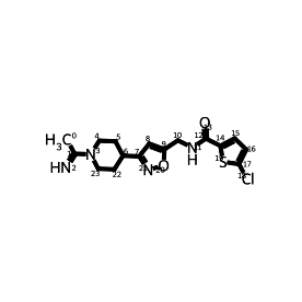 CC(=N)N1CCC(c2cc(CNC(=O)c3ccc(Cl)s3)on2)CC1